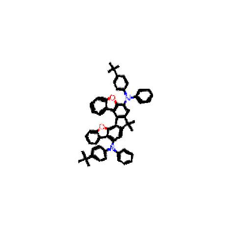 CC(C)(C)c1ccc(N(c2ccccc2)c2cc3c(c4c2oc2ccccc24)-c2c(cc(N(c4ccccc4)c4ccc(C(C)(C)C)cc4)c4c2oc2ccccc24)C3(C)C)cc1